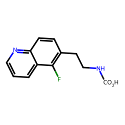 O=C(O)NCCc1ccc2ncccc2c1F